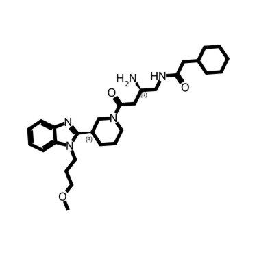 COCCCn1c([C@@H]2CCCN(C(=O)C[C@@H](N)CNC(=O)CC3CCCCC3)C2)nc2ccccc21